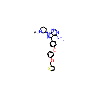 CC(=O)N1CCC[C@@H](n2nc(-c3ccc(Oc4cccc(OCc5cccs5)c4)cc3)c3c(N)ncnc32)C1